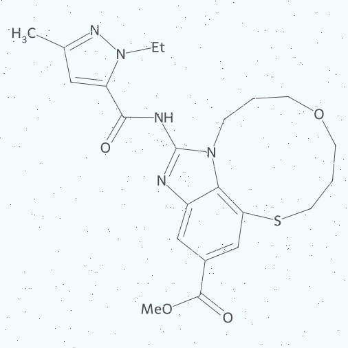 CCn1nc(C)cc1C(=O)Nc1nc2cc(C(=O)OC)cc3c2n1CCCOCCCS3